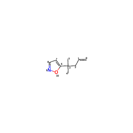 C=CCC(C)(C)c1c[c]no1